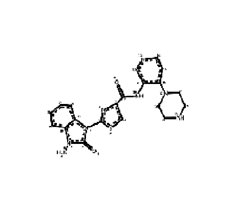 Nn1c(=O)n(-c2nc(C(=O)Nc3cnccc3N3CCNCC3)cs2)c2ccccc21